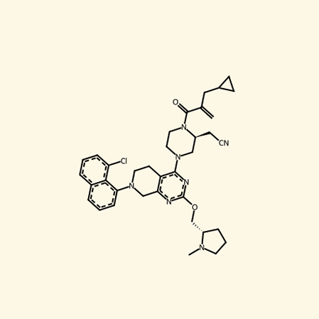 C=C(CC1CC1)C(=O)N1CCN(c2nc(OC[C@@H]3CCCN3C)nc3c2CCN(c2cccc4cccc(Cl)c24)C3)C[C@@H]1CC#N